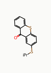 CC(C)Sc1ccc2sc3ccccc3c(=O)c2c1